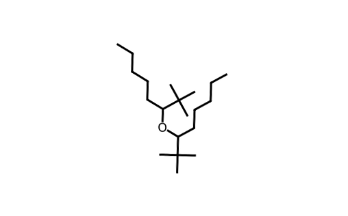 CCCCCC(OC(CCCCC)C(C)(C)C)C(C)(C)C